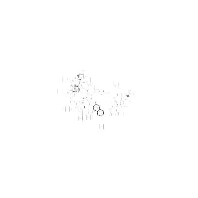 CCC(=O)O[C@@H]1C(C)O[C@@H](O[C@@H]2C[C@H](Oc3cc4cc5c(c(O)c4c(O)c3C)C(=O)[C@@H](O[C@H]3C[C@@H](O[C@H]4C[C@@H](O[C@H]6C[C@](C)(O)[C@H](O)C(C)O6)[C@@H](O)C(C)O4)[C@H](O)C(C)O3)[C@H]([C@H](OC)C(=O)[C@@H](O)[C@@H](C)O)C5)OC(C)[C@H]2O)C[C@H]1O